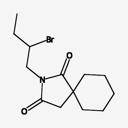 CCC(Br)CN1C(=O)CC2(CCCCC2)C1=O